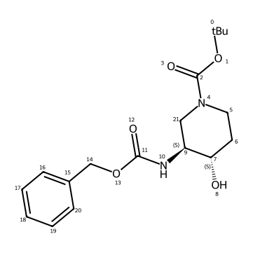 CC(C)(C)OC(=O)N1CC[C@H](O)[C@@H](NC(=O)OCc2ccccc2)C1